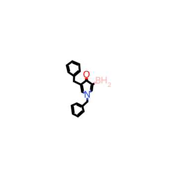 Bc1cn(Cc2ccccc2)cc(Cc2ccccc2)c1=O